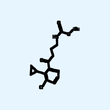 CC(C)(C)OC(=O)NCCCC(=O)c1cccc(Cl)c1C1CC1